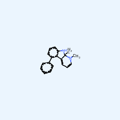 CN1C=CC=C2c3c(cccc3-c3ccccc3)NC21C